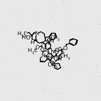 CC[C@]1(O)C[C@@H]2CN(CCc3c([nH]c4ccccc34)[C@@](C(=O)OC)(c3cc4c(cc3OC)N(C)C3[C@]45CCN4CC=C[C@@](CC)([C@@H](O[Si]6(CCCCC(=O)OCc7ccccc7)CCCC6)[C@]3(O)C(=O)OC)[C@H]45)C2)C1